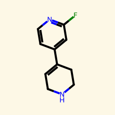 Fc1cc(C2=CCNCC2)ccn1